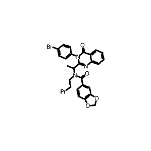 CC(C)CCN(C(=O)c1ccc2c(c1)OCO2)C(C)c1nc2ccccc2c(=O)n1-c1ccc(Br)cc1